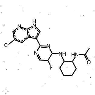 CC(=O)NC1CCCCC1NC1N=C(c2c[nH]c3ncc(Cl)cc23)N=CC1F